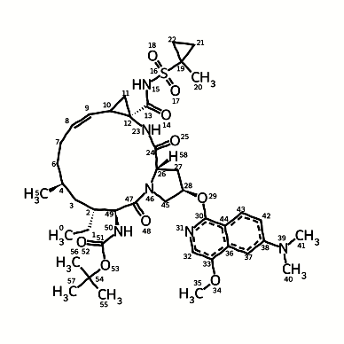 CC[C@@H]1C[C@@H](C)CC/C=C\C2C[C@@]2(C(=O)NS(=O)(=O)C2(C)CC2)NC(=O)[C@@H]2C[C@@H](Oc3ncc(OC)c4cc(N(C)C)ccc34)CN2C(=O)[C@H]1NC(=O)OC(C)(C)C